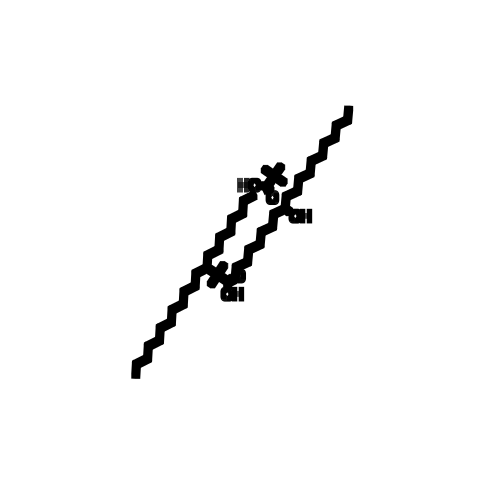 CC(C)(C)C(=O)O.CCCCCCCCCCCC(O)CCCCCCCC.CCCCCCCCCCCCC(CCCCCCCC)C(C)(C)C(=O)O